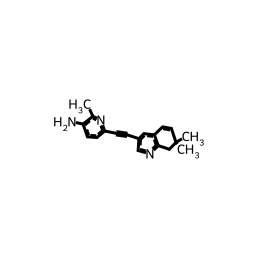 Cc1nc(C#Cc2cnc3c(c2)C=CC(C)(C)C3)ccc1N